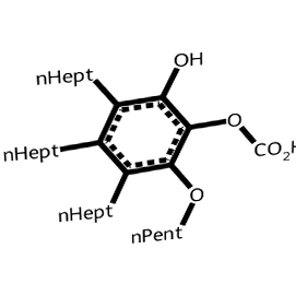 CCCCCCCc1c(O)c(OC(=O)O)c(OCCCCC)c(CCCCCCC)c1CCCCCCC